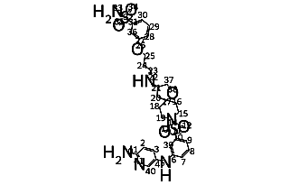 Nc1ccc(Nc2cccc(S(=O)(=O)N3CCC4(CC3)CC(NCCCOc3cccc(S(N)(=O)=O)c3)CO4)c2)cn1